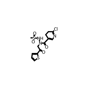 CS(=O)(=O)NN(CC(=O)c1cccs1)C(=O)C1=CN=C(Cl)CC1